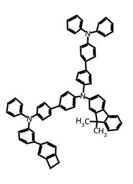 CC1(C)c2ccccc2-c2ccc(N(c3ccc(-c4ccc(N(c5ccccc5)c5ccccc5)cc4)cc3)c3ccc(-c4ccc(N(c5ccccc5)c5cccc(-c6ccc7c(c6)CC7)c5)cc4)cc3)cc21